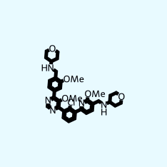 COc1cc(-c2ncnc(-c3cccc(-c4ccc(CNC5CCOCC5)c(OC)n4)c3Cl)c2OC)ccc1CNC1CCOCC1